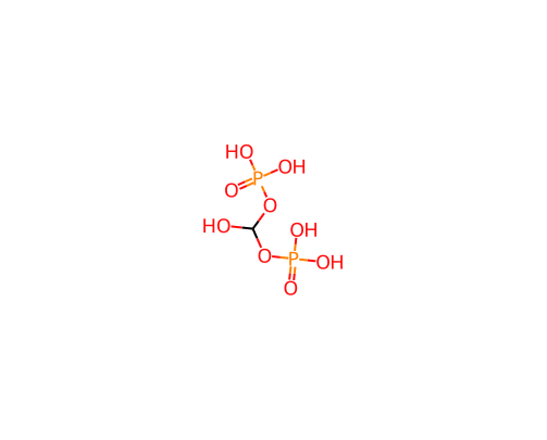 O=P(O)(O)OC(O)OP(=O)(O)O